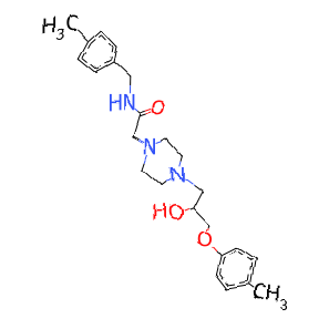 Cc1ccc(CNC(=O)CN2CCN(CC(O)COc3ccc(C)cc3)CC2)cc1